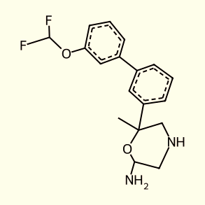 CC1(c2cccc(-c3cccc(OC(F)F)c3)c2)CNCC(N)O1